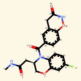 CNC(=O)C[C@@H]1COc2cc(F)ccc2N1C(=O)c1ccc2c(c1)CC(=O)NO2